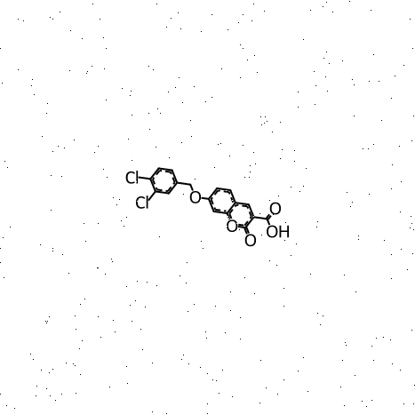 O=C(O)c1cc2ccc(OCc3ccc(Cl)c(Cl)c3)cc2oc1=O